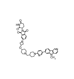 Cn1c2ccncc2c2ccc(-c3ccc(N4CCC(CN5CCC(OC6CN(c7ccc8c(c7)C(=O)N(C7CCC(=O)NC7=O)C8=O)C6)CC5)CC4)nc3)cc21